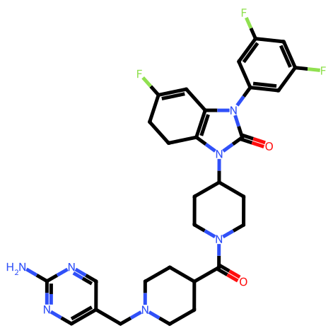 Nc1ncc(CN2CCC(C(=O)N3CCC(n4c5c(n(-c6cc(F)cc(F)c6)c4=O)C=C(F)CC5)CC3)CC2)cn1